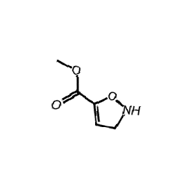 COC(=O)C1=CCNO1